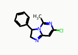 CC1=NC(Cl)=CC2=NCC(c3ccccc3)N12